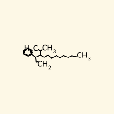 C=CC(c1ccccc1)C(CCCCCCCCCC)[C](C)C